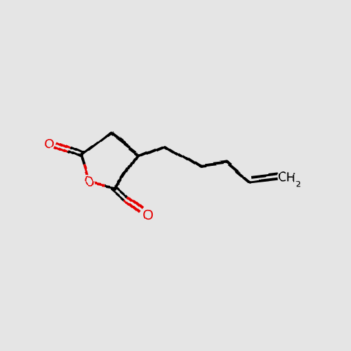 C=CCCCC1CC(=O)OC1=O